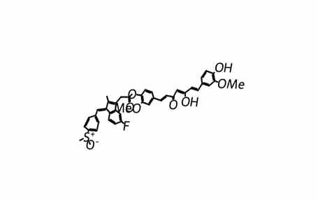 COc1cc(/C=C/C(O)=C/C(=O)/C=C/c2ccc(OC(=O)CC3=C(C)/C(=C/c4ccc([S+](C)[O-])cc4)c4ccc(F)cc43)c(OC)c2)ccc1O